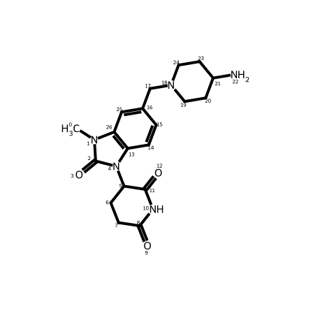 Cn1c(=O)n(C2CCC(=O)NC2=O)c2ccc(CN3CCC(N)CC3)cc21